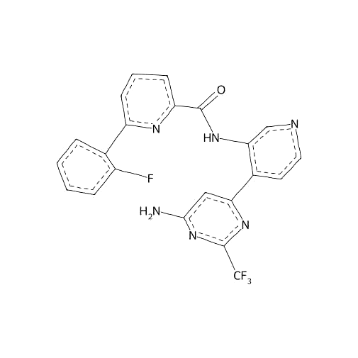 Nc1cc(-c2ccncc2NC(=O)c2cccc(-c3ccccc3F)n2)nc(C(F)(F)F)n1